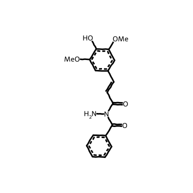 COc1cc(/C=C/C(=O)N(N)C(=O)c2ccccc2)cc(OC)c1O